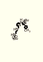 C[C@@H]1CC[C@H](c2cc(Nc3cccc(CNCCCNC(=O)OC(C)(C)C)n3)n(C(C)(C)C)n2)C1